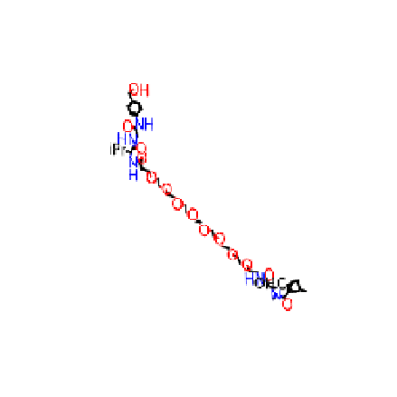 CC1=CC2CC1C(C(=O)N(C)CCC(=O)NCCOCCOCCOCCOCCOCCOCCOCCOCCC(=O)NC(C(=O)NCC(=O)Nc1ccc(CO)cc1)C(C)C)C2C=O